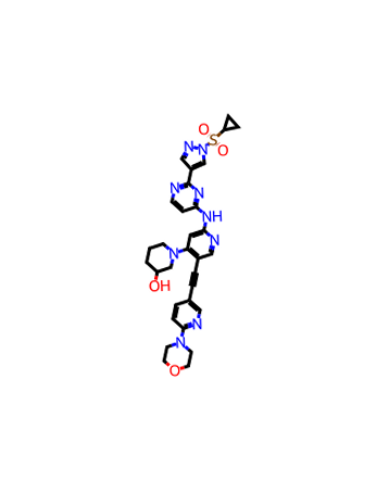 O=S(=O)(C1CC1)n1cc(-c2nccc(Nc3cc(N4CCCC(O)C4)c(C#Cc4ccc(N5CCOCC5)nc4)cn3)n2)cn1